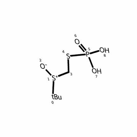 CC(C)(C)[S+]([O-])CSP(=O)(O)O